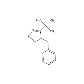 CC(C)(C)c1nnnn1Cc1ccccc1